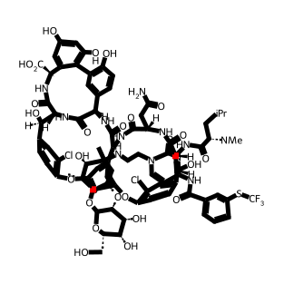 CN[C@@H](CC(C)C)C(=O)N[C@H]1C(=O)N[C@@H](CC(N)=O)C(=O)NC2C(=O)N[C@@H]3C(=O)N[C@@H](C(=O)N[C@@H](C(=O)O)c4cc(O)cc(O)c4-c4cc3ccc4O)[C@H](O)c3ccc(c(Cl)c3)Oc3cc2cc(c3OC2O[C@@H](CO)[C@@H](O)[C@@H](O)[C@H]2O[C@H]2CC(C)(NCCn3ccc(NC(=O)c4cccc(SC(F)(F)F)c4)nc3=O)[C@@H](O)[C@@H](C)O2)Oc2ccc(cc2Cl)[C@H]1O